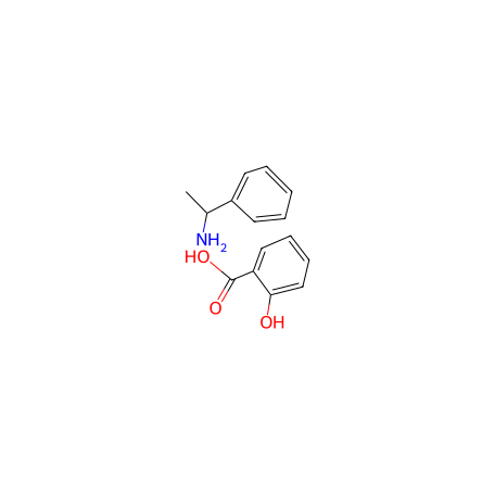 CC(N)c1ccccc1.O=C(O)c1ccccc1O